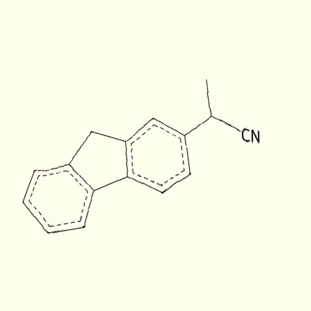 CC(C#N)c1ccc2c(c1)Cc1ccccc1-2